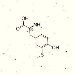 CSc1cc(C[C@H](N)C(=O)O)ccc1O